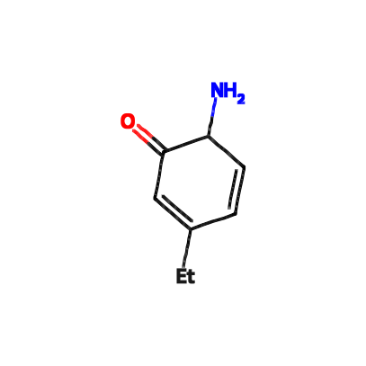 CCC1=CC(=O)C(N)C=C1